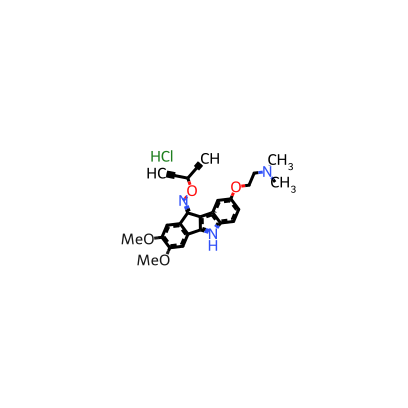 C#CC(C#C)O/N=C1/c2cc(OC)c(OC)cc2-c2[nH]c3ccc(OCCN(C)C)cc3c21.Cl